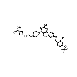 COc1cc(OC(F)(F)F)ccc1COc1ccc2c(c1)CCc1c-2nc(N)nc1N1CCN(CCOC2CC(C(=O)O)C2)CC1